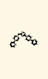 c1ccc(N2CCN(Cc3nsc(N4CCN(c5ccccn5)CC4)n3)CC2)nc1